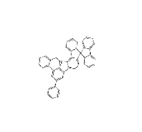 c1ccc(-c2cc3c4c(c2)c2ccc5c(c2n4Cc2ccccc2-3)-c2ccccc2C52c3ccccc3-c3ccccc32)cc1